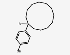 Oc1ccc(C2(Br)CCCCCCCCCCC2)cc1